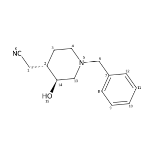 N#CC[C@@H]1CCN(Cc2ccccc2)C[C@H]1O